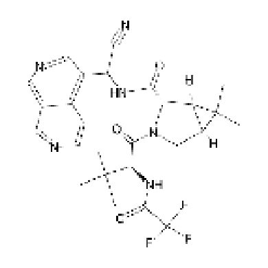 CC(C)(C)[C@H](NC(=O)C(F)(F)F)C(=O)N1C[C@H]2[C@@H]([C@H]1C(=O)NC(C#N)c1cncc3cnccc13)C2(C)C